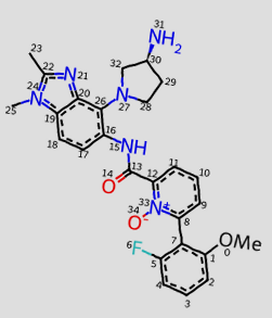 COc1cccc(F)c1-c1cccc(C(=O)Nc2ccc3c(nc(C)n3C)c2N2CC[C@H](N)C2)[n+]1[O-]